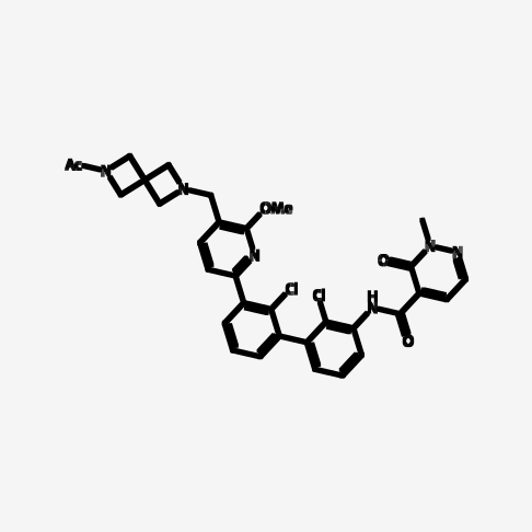 COc1nc(-c2cccc(-c3cccc(NC(=O)c4ccnn(C)c4=O)c3Cl)c2Cl)ccc1CN1CC2(C1)CN(C(C)=O)C2